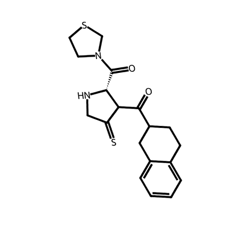 O=C(C1CCc2ccccc2C1)C1C(=S)CN[C@@H]1C(=O)N1CCSC1